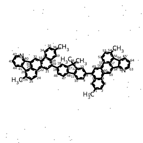 Cc1ccc2c(c1)c(-c1ccc3c(c1)C(C)(C)c1cc(-c4cc5c6ccc(C)c7c6c(cc5c5ccc(C)cc45)-c4ncccc4-7)ccc1-3)cc1c3ccc(C)c4c3c(cc21)-c1ncccc1-4